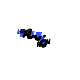 COc1nc(-c2ccc(N(C)C3C[C@H]4CC[C@@H](C3)N4)nn2)ccc1-c1cn[nH]c1